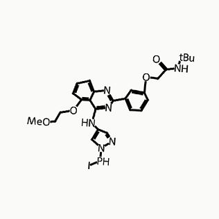 COCCOc1cccc2nc(-c3cccc(OCC(=O)NC(C)(C)C)c3)nc(Nc3cnn(PI)c3)c12